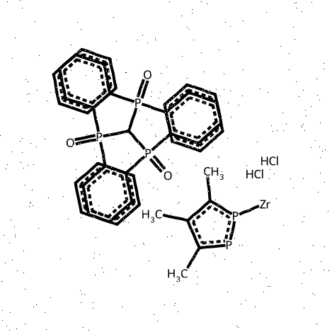 Cc1p[p]([Zr])c(C)c1C.Cl.Cl.O=P(c1ccccc1)(c1ccccc1)C(P(=O)(c1ccccc1)c1ccccc1)P(=O)(c1ccccc1)c1ccccc1